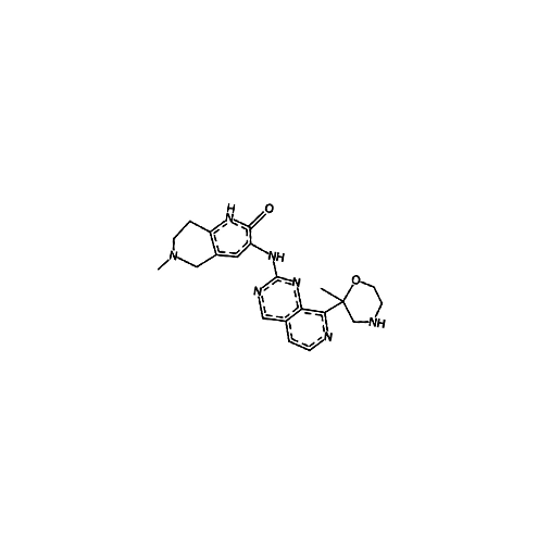 CN1CCc2[nH]c(=O)c(Nc3ncc4ccnc(C5(C)CNCCO5)c4n3)cc2C1